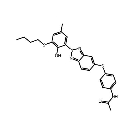 CCCCSc1cc(C)cc(-n2nc3ccc(Sc4ccc(NC(C)=O)cc4)cc3n2)c1O